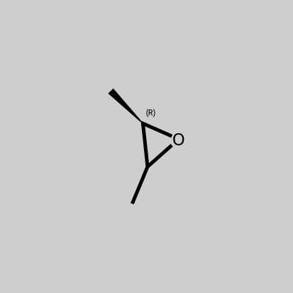 CC1O[C@@H]1C